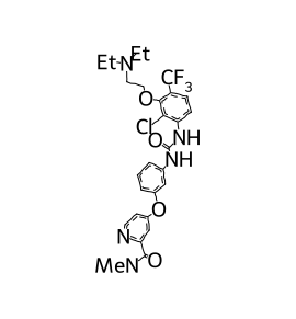 CCN(CC)CCOc1c(C(F)(F)F)ccc(NC(=O)Nc2cccc(Oc3ccnc(C(=O)NC)c3)c2)c1Cl